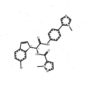 Cn1cncc1-c1ccc(NC(=O)[C@@H](NC(=O)c2ccnn2C)[C@@H]2C=Cc3ccc(Br)cc32)cc1